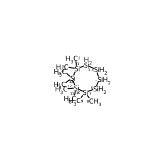 C[Si]1(C)[SiH2][SiH2][SiH2][SiH2][Si](C)(C)[Si](C)(C)[Si]1(C)C